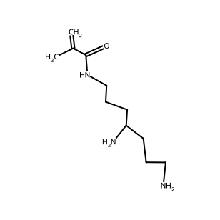 C=C(C)C(=O)NCCCC(N)CCCN